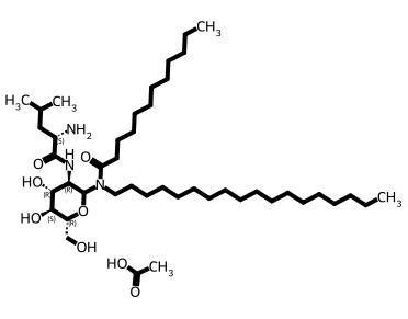 CC(=O)O.CCCCCCCCCCCCCCCCCCN(C(=O)CCCCCCCCCCC)C1O[C@H](CO)[C@@H](O)[C@H](O)[C@H]1NC(=O)[C@@H](N)CC(C)C